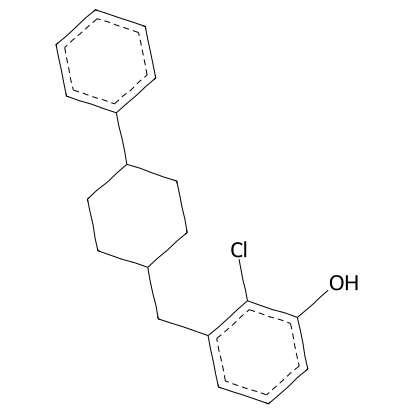 Oc1cccc(CC2CCC(c3ccccc3)CC2)c1Cl